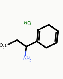 Cl.NC(CC(=O)O)C1=CCC=CC1